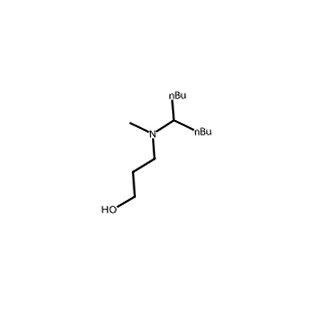 CCCCC(CCCC)N(C)CCCO